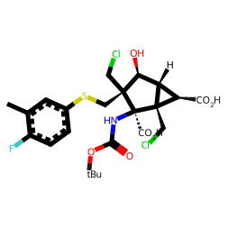 Cc1cc(SC[C@@]2(CCl)[C@@H](O)[C@@H]3[C@@H](C(=O)O)[C@]3(CCl)[C@]2(NC(=O)OC(C)(C)C)C(=O)O)ccc1F